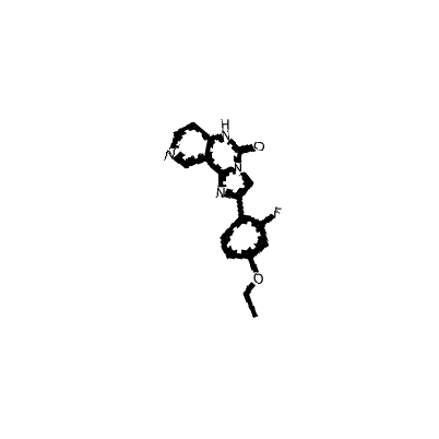 CCOc1ccc(-c2cn3c(=O)[nH]c4ccncc4c3n2)c(F)c1